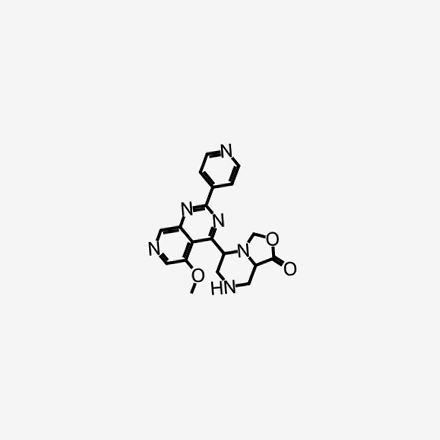 COc1cncc2nc(-c3ccncc3)nc(C3CNCC4C(=O)OCN43)c12